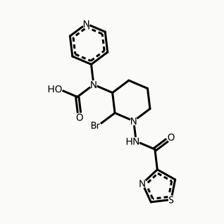 O=C(NN1CCCC(N(C(=O)O)c2ccncc2)C1Br)c1cscn1